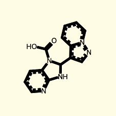 O=C(O)N1c2cccnc2NC1c1cnn2ccccc12